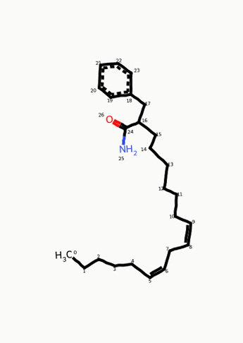 CCCCC/C=C\C/C=C\CCCCCCC(Cc1ccccc1)C(N)=O